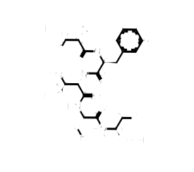 C[C@@H](O)[C@H](N)C(=O)N[C@@H](Cc1ccccc1)C(=O)N[C@H](C(=O)N[C@@H](CO)C(=O)N[C@@H](CS)C(=O)O)[C@@H](C)O